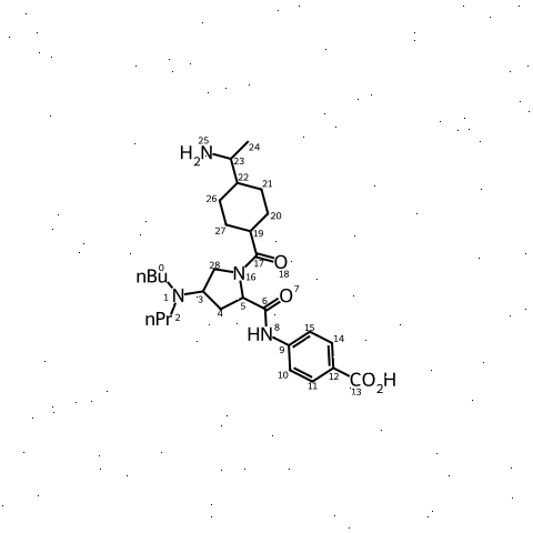 CCCCN(CCC)C1CC(C(=O)Nc2ccc(C(=O)O)cc2)N(C(=O)C2CCC(C(C)N)CC2)C1